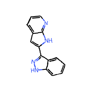 c1cnc2[nH]c(-c3n[nH]c4ccccc34)cc2c1